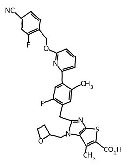 Cc1cc(Cc2nc3sc(C(=O)O)c(C)c3n2CC2CCO2)c(F)cc1-c1cccc(OCc2ccc(C#N)cc2F)n1